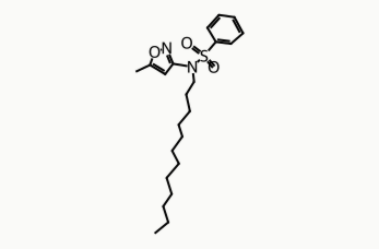 CCCCCCCCCCCCN(c1cc(C)on1)S(=O)(=O)c1ccccc1